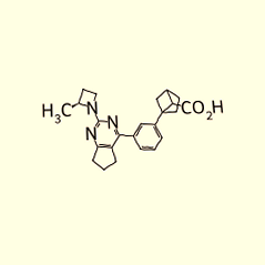 C[C@H]1CCN1c1nc2c(c(-c3cccc(C45CCC(C4)C5C(=O)O)c3)n1)CCC2